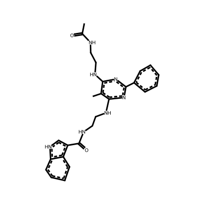 CC(=O)NCCNc1nc(-c2ccccc2)nc(NCCNC(=O)c2c[nH]c3ccccc23)c1C